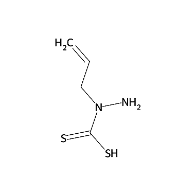 C=CCN(N)C(=S)S